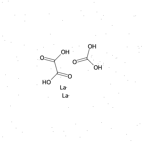 O=C(O)C(=O)O.O=C(O)O.[La].[La]